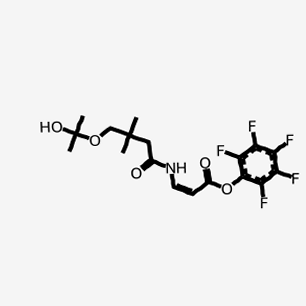 CC(C)(COC(C)(C)O)CC(=O)N/C=C\C(=O)Oc1c(F)c(F)c(F)c(F)c1F